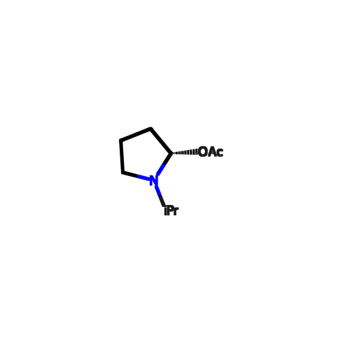 CC(=O)O[C@H]1CCCN1C(C)C